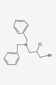 CC(C)CC(Cl)CN(Cc1ccccc1)Cc1ccccc1